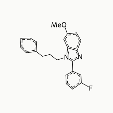 COc1ccc2nc(-c3cccc(F)c3)n(CCCc3ccccc3)c2c1